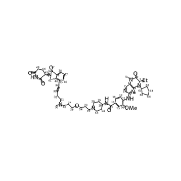 CC[C@@H]1C(=O)N(C)c2cnc(Nc3ccc(C(=O)NC4CCN(CCCOCCCN(C)CCC#Cc5cccc6c5CN(C5CCC(=O)NC5=O)C6=O)CC4)cc3OC)nc2N1C1CCCC1